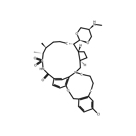 CN[C@H]1CO[C@@H]([C@H]2CCC[C@H](C)[C@@H](C)S(=O)(=O)NC(=O)c3ccc4c(c3)N(CCCCc3cc(Cl)ccc3CO4)C[C@@H]3CC[C@H]32)OC1